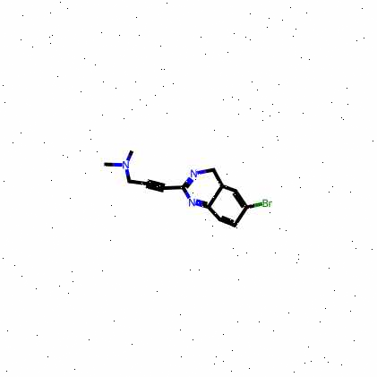 CN(C)CC#CC1=NCC2C=C(Br)C=CC2=N1